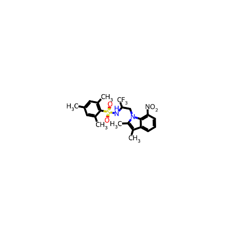 Cc1cc(C)c(S(=O)(=O)NC(Cn2c(C)c(C)c3cccc([N+](=O)[O-])c32)C(F)(F)F)c(C)c1